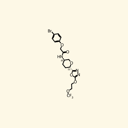 O=C(COc1ccc(Br)cc1)N[C@@H]1CC[C@@H](c2nnc(OCCOC(F)(F)F)o2)OC1